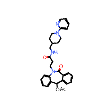 CC(=O)OC1c2ccccc2C(=O)N(CCC(=O)NCC2CCN(c3ccccn3)CC2)c2ccccc21